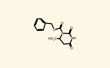 O=C1CC(C(=O)O)N(C(=O)OCc2ccccc2)C(=O)N1